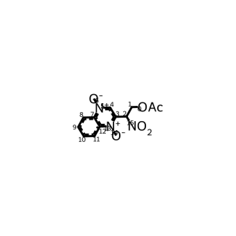 CC(=O)OCC(c1c[n+]([O-])c2ccccc2[n+]1[O-])[N+](=O)[O-]